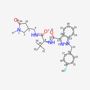 CN1CC(CNC(=O)[C@@H](NC(=O)c2nn(Cc3ccc(F)cc3)c3ccccc23)C(C)(C)C)CC1=O